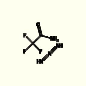 N=[N+]=N.NC(=O)C(F)(F)F